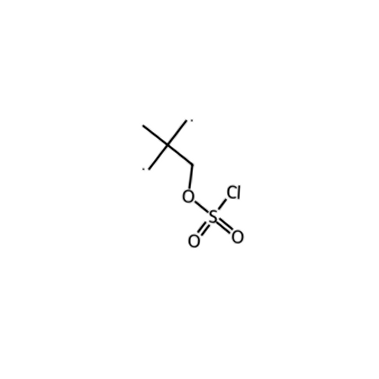 [CH2]C([CH2])(C)COS(=O)(=O)Cl